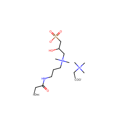 CCCCCCCCCCCC(=O)NCCC[N+](C)(C)CC(O)CS(=O)(=O)[O-].C[N+](C)(C)CC(=O)[O-]